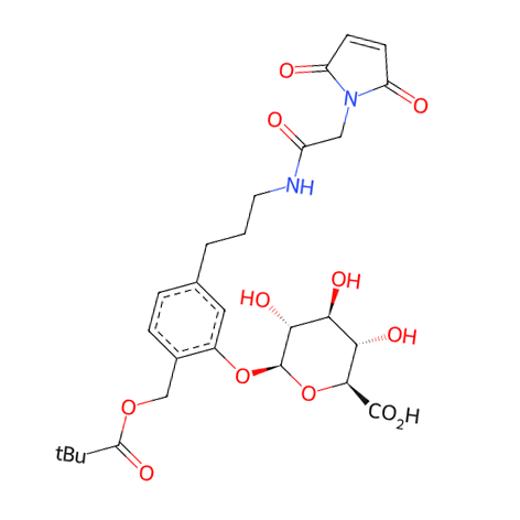 CC(C)(C)C(=O)OCc1ccc(CCCNC(=O)CN2C(=O)C=CC2=O)cc1O[C@@H]1O[C@H](C(=O)O)[C@@H](O)[C@H](O)[C@H]1O